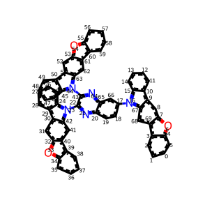 c1ccc2c(c1)oc1cc3c4ccccc4n(-c4ccc5nc(-n6c7ccccc7c7cc8oc9ccccc9c8cc76)c(-n6c7ccccc7c7cc8oc9ccccc9c8cc76)nc5c4)c3cc12